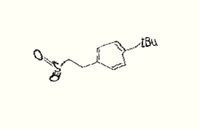 CC(C)(C)c1ccc(CC[SH](=O)=O)cc1